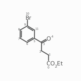 CCOC(=O)CCC(=O)c1cccc(Br)c1